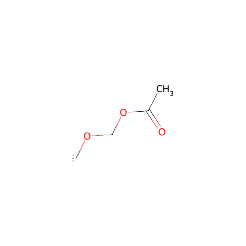 [C]OCOC(C)=O